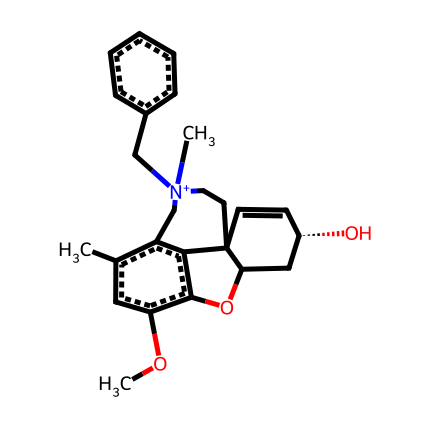 COc1cc(C)c2c3c1OC1C[C@@H](O)C=CC31CC[N+](C)(Cc1ccccc1)C2